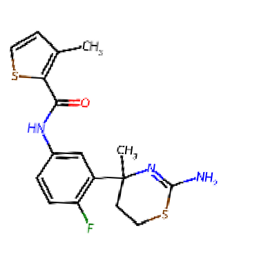 Cc1ccsc1C(=O)Nc1ccc(F)c(C2(C)CCSC(N)=N2)c1